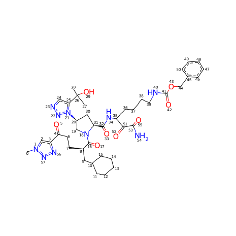 Cn1cc(C(=O)CC[C@H](CC2CCCCC2)C(=O)N2C[C@@H](n3nncc3C(C)(C)O)C[C@H]2C(=O)NC(CCCCNC(=O)OCc2ccccc2)C(=O)C(N)=O)nn1